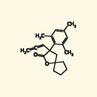 C=C=CC1(c2c(C)cc(C)cc2C)CC2(CCCC2)OC1=O